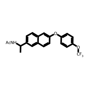 CC(=O)NC(C)c1ccc2cc(Oc3ccc(OC(F)(F)F)cc3)ccc2c1